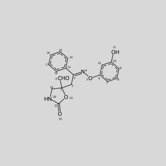 O=CC1(C/C(=N\Oc2cccc(O)c2)c2ccccc2)CNC(=O)O1